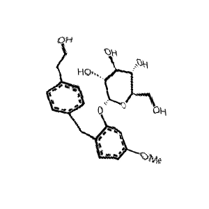 COc1ccc(Cc2ccc(CCO)cc2)c(O[C@H]2O[C@H](CO)[C@@H](O)[C@H](O)[C@H]2O)c1